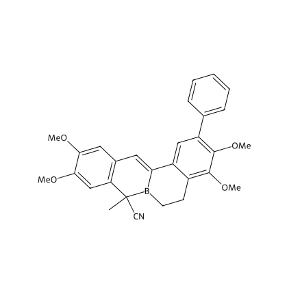 COc1cc2c(cc1OC)C(C)(C#N)B1CCc3c(cc(-c4ccccc4)c(OC)c3OC)C1=C2